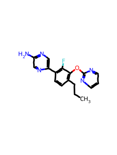 CCCc1ccc(-c2cnc(N)cn2)c(F)c1Oc1ncccn1